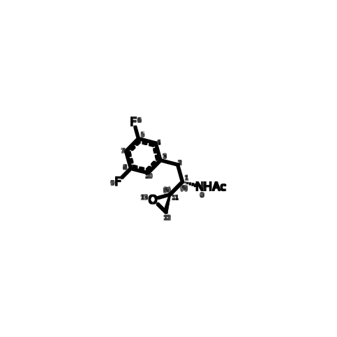 CC(=O)N[C@@H](Cc1cc(F)cc(F)c1)[C@H]1CO1